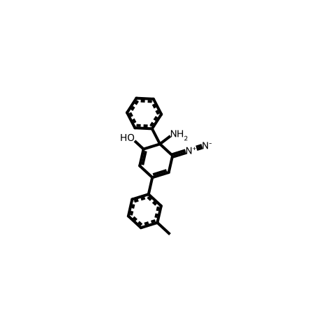 Cc1cccc(C2=CC(=[N+]=[N-])C(N)(c3ccccc3)C(O)=C2)c1